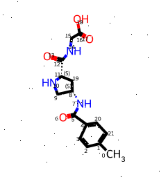 Cc1ccc(C(=O)N[C@@H]2CN[C@H](C(=O)NCC(=O)O)C2)cc1